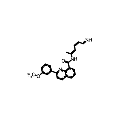 C/C(=C\C=C/C=N)NC(=O)c1cccc2ccc(-c3cccc(OC(F)(F)F)c3)nc12